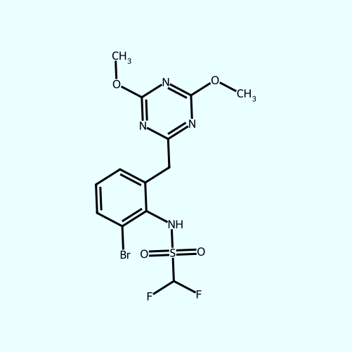 COc1nc(Cc2cccc(Br)c2NS(=O)(=O)C(F)F)nc(OC)n1